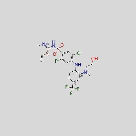 C=CS/C(=N\C)NS(=O)(=O)c1cc(Cl)c(N[C@H]2CC[C@H](C(F)(F)F)C[C@@H]2N(C)CCO)cc1F